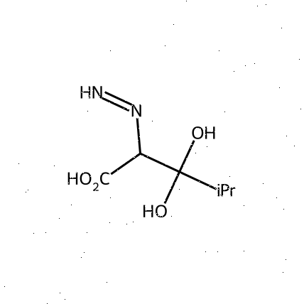 CC(C)C(O)(O)C(N=N)C(=O)O